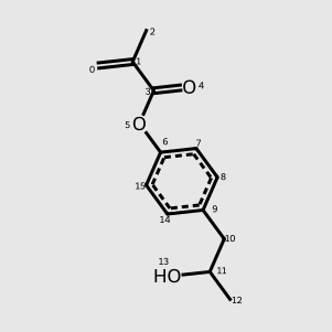 C=C(C)C(=O)Oc1ccc(CC(C)O)cc1